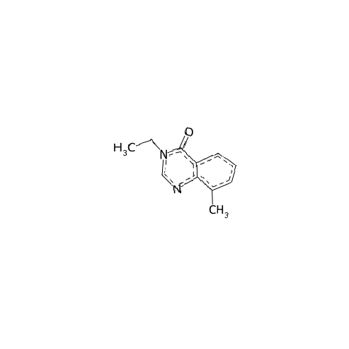 CCn1cnc2c(C)cccc2c1=O